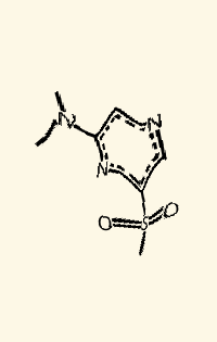 CN(C)c1cncc(S(C)(=O)=O)n1